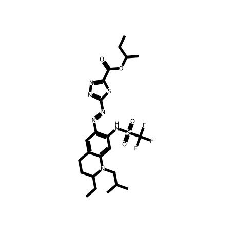 CCC(C)OC(=O)c1nnc(N=Nc2cc3c(cc2NS(=O)(=O)C(F)(F)F)N(CC(C)C)C(CC)CC3)s1